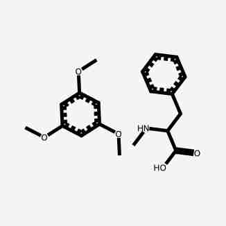 CNC(Cc1ccccc1)C(=O)O.COc1cc(OC)cc(OC)c1